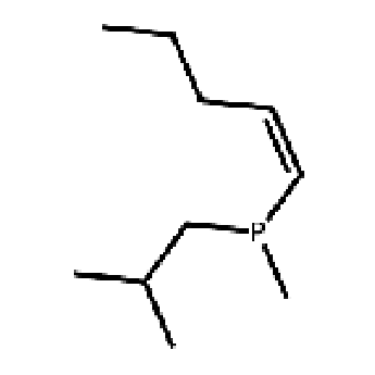 CCC/C=C\P(C)CC(C)C